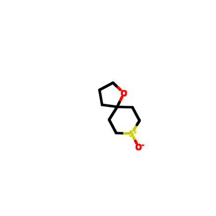 [O-][S+]1CCC2(CCCO2)CC1